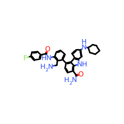 NCc1c(NC(=O)c2ccc(F)cc2)cccc1-c1ccc(C(N)=O)c2[nH]c3cc(NC4CCCCC4)ccc3c12